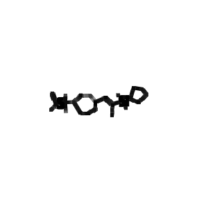 C=C(C)[Si](C)(C)C1CCCC(/C=C(\C)[Si](C)(C)C2CCCC2)CC1